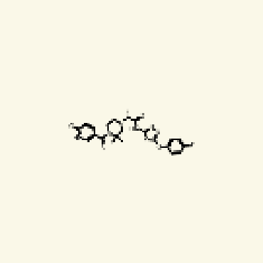 C[C@H](C(=O)Nc1nnc(Oc2ccc(F)cc2)s1)N1CCN(C(=O)c2ccc(=O)[nH]c2)C(C)(C)C1